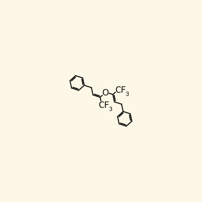 FC(F)(F)C(=CCc1ccccc1)OC(=CCc1ccccc1)C(F)(F)F